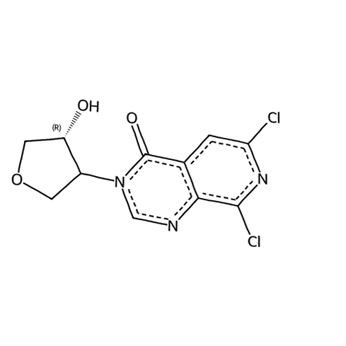 O=c1c2cc(Cl)nc(Cl)c2ncn1C1COC[C@@H]1O